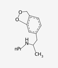 CCCNC(C)Cc1ccc2c(c1)OOC2